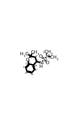 CN(C)S(=O)(=O)NC1CC(C)(C)Oc2ccccc21